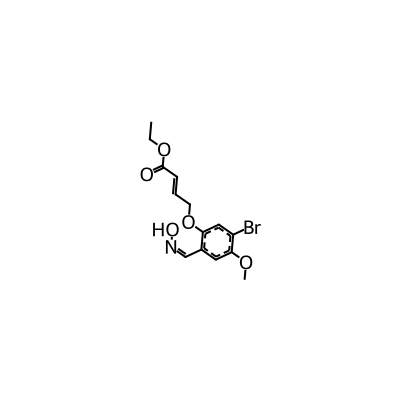 CCOC(=O)/C=C/COc1cc(Br)c(OC)cc1/C=N\O